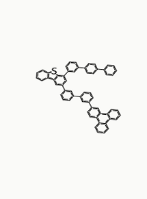 c1ccc(-c2ccc(-c3cccc(-c4cc(-c5cccc(-c6cccc(-c7ccc8c9ccccc9c9ccccc9c8c7)c6)c5)cc5c4sc4ccccc45)c3)cc2)cc1